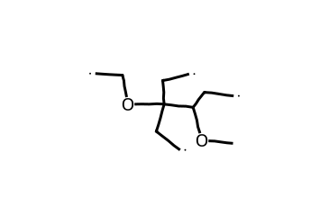 [CH2]COC(C[CH2])(C[CH2])C(C[CH2])OC